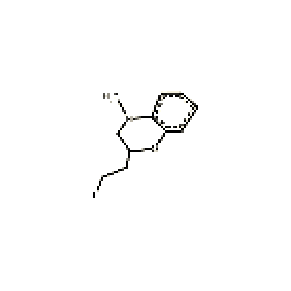 CN1[C]C(CCF)Oc2ccccc21